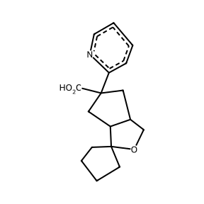 O=C(O)C1(c2ccccn2)CC2COC3(CCCC3)C2C1